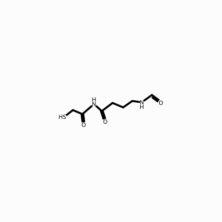 O=CNCCCC(=O)NC(=O)CS